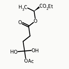 CCOC(=O)[C@H](C)OC(=O)CCC(O)(O)OC(C)=O